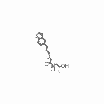 CN(CCO)C(=O)COCCCc1ccc2sccc2c1